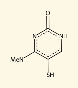 CNc1nc(=O)[nH]cc1S